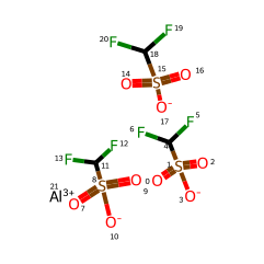 O=S(=O)([O-])C(F)F.O=S(=O)([O-])C(F)F.O=S(=O)([O-])C(F)F.[Al+3]